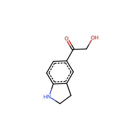 O=C(CO)c1ccc2c(c1)CCN2